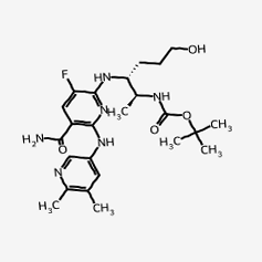 Cc1cc(Nc2nc(N[C@H](CCCO)[C@H](C)NC(=O)OC(C)(C)C)c(F)cc2C(N)=O)cnc1C